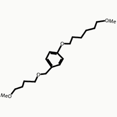 COCCCCCCOc1ccc(COCCCCOC)cc1